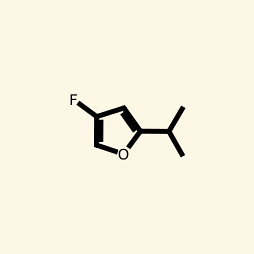 CC(C)c1cc(F)co1